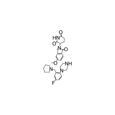 O=C1CCC(N2Cc3cc(OC[C@H]4CCCCN4Cc4cc(F)ccc4N4CCNCC4)ccc3C2=O)C(=O)N1